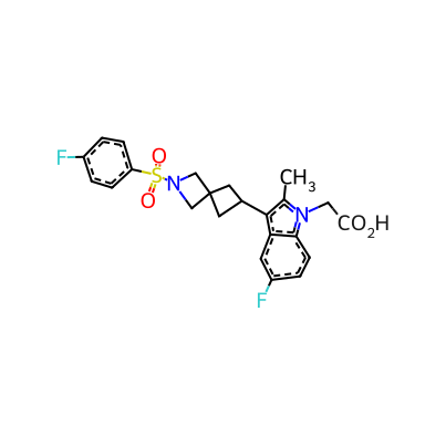 Cc1c(C2CC3(C2)CN(S(=O)(=O)c2ccc(F)cc2)C3)c2cc(F)ccc2n1CC(=O)O